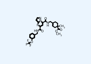 COC(=O)C1(C)CC=C(CNC(=O)c2cc(C(=O)NCc3cccc(OC(F)(F)F)c3)nc3ccnn23)CC1